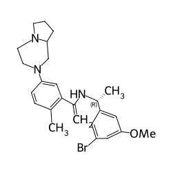 C=C(N[C@H](C)c1cc(Br)cc(OC)c1)c1cc(N2CCN3CCCC3C2)ccc1C